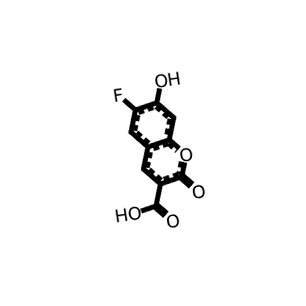 O=C(O)c1cc2cc(F)c(O)cc2oc1=O